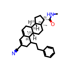 CNC(=O)[C@H]1CC[C@H]2[C@@H]3CC=C4C=C(C#N)CC(CCc5ccccc5)[C@]4(C)[C@H]3CC[C@]12C